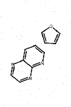 c1ccoc1.c1cnc2nccnc2c1